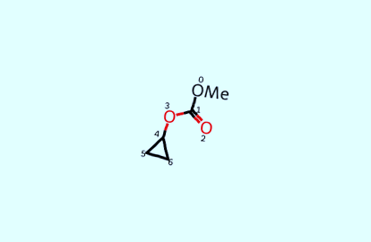 COC(=O)OC1CC1